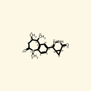 CC1CC(=O)N(C)c2ccc(C3=NNC(=O)C4CC34)cc2C1C